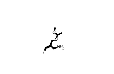 COC(C)OC/C(=C/F)CN